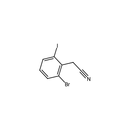 N#CCc1c(Br)cccc1I